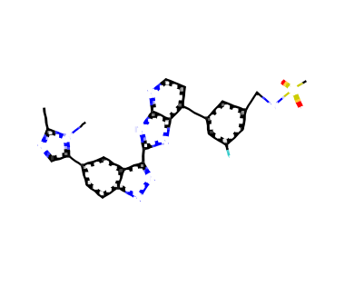 Cc1ncc(-c2ccc3[nH]nc(-c4nc5c(-c6cc(F)cc(CNS(C)(=O)=O)c6)ccnc5[nH]4)c3c2)n1C